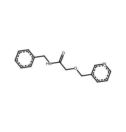 O=C(COCc1cccnc1)NCc1ccccc1